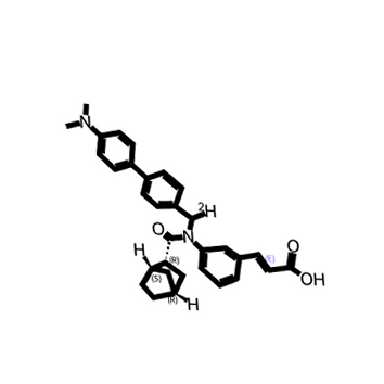 [2H]C(c1ccc(-c2ccc(N(C)C)cc2)cc1)N(C(=O)[C@@H]1C[C@@H]2CC[C@H]1C2)c1cccc(/C=C/C(=O)O)c1